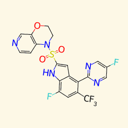 O=S(=O)(c1cc2c(-c3ncc(F)cn3)c(C(F)(F)F)cc(F)c2[nH]1)N1CCOc2cnccc21